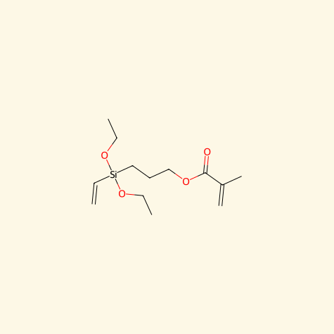 C=C[Si](CCCOC(=O)C(=C)C)(OCC)OCC